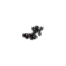 c1ccc(-c2cc(-c3ccccc3)cc(N3c4ccccc4-c4ccccc4-c4cc(-c5ccc6c(c5)-c5ccccc5-c5ccccc5N6c5cccc(-c6cccc7c6oc6ccccc67)c5)ccc43)c2)cc1